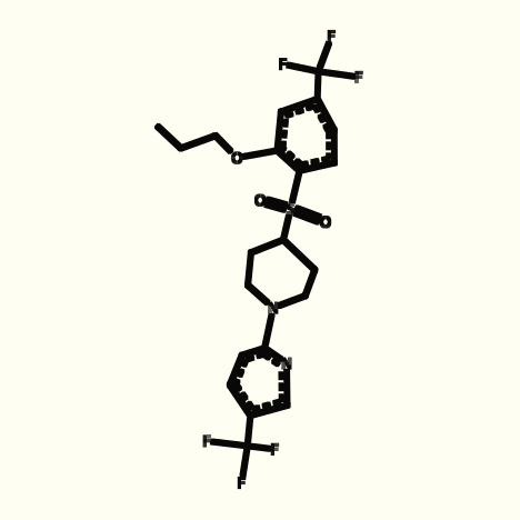 CCCOc1cc(C(F)(F)F)ccc1S(=O)(=O)C1CCN(c2ccc(C(F)(F)F)cn2)CC1